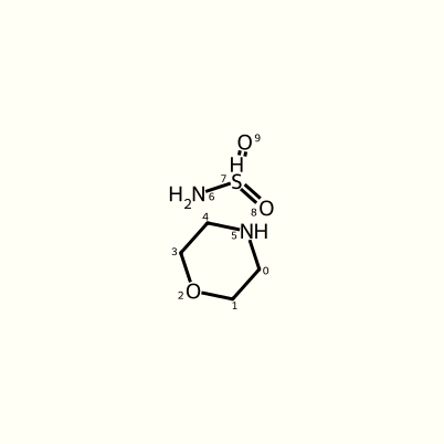 C1COCCN1.N[SH](=O)=O